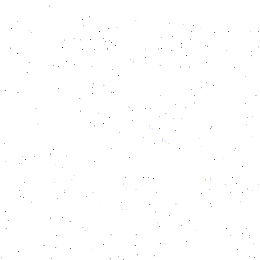 Cc1cc(-c2nc3c4c(nc(OCC56CCCN5C[C@H](F)C6)nc4c2F)NCCNCC[C@H](C)O3)c(F)c(N)c1F